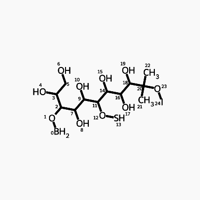 BOC(C(O)CO)C(O)C(O)C(OS)C(O)C(O)C(O)C(C)(C)OI